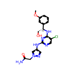 COc1cccc([C@@H](CO)Nc2nc(Nc3cnn(CC(N)=O)c3)ncc2Cl)c1